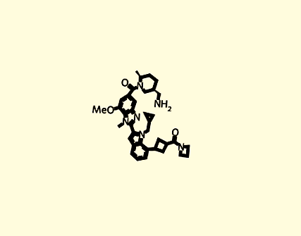 COc1cc(C(=O)N2C[C@H](CN)CC[C@@H]2C)cc2nc(-c3cc4cccc(C5CC(C(=O)N6CCC6)C5)c4n3CC3CC3)n(C)c12